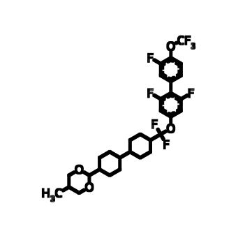 CC1COC(C2CCC(C3CCC(C(F)(F)Oc4cc(F)c(-c5ccc(OC(F)(F)F)c(F)c5)c(F)c4)CC3)CC2)OC1